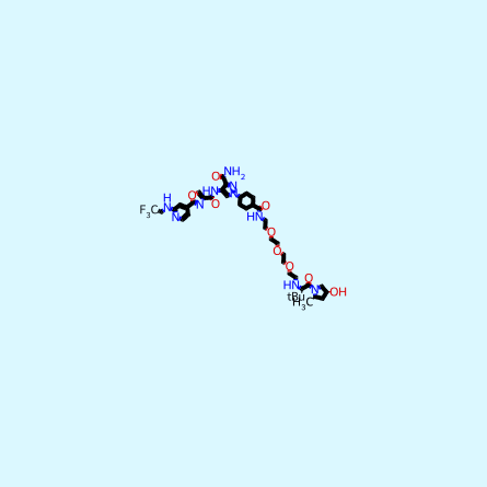 C[C@@H]1C[C@@H](O)CN1C(=O)[C@@H](NCCOCCOCCOCCNC(=O)C1CCC(n2cc(NC(=O)c3coc(-c4ccnc(NCC(F)(F)F)c4)n3)c(C(N)=O)n2)CC1)C(C)(C)C